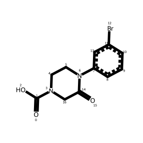 O=C(O)N1CCN(c2cccc(Br)c2)C(=O)C1